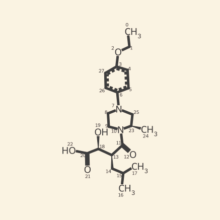 CCOc1ccc(N2CCN(C(=O)[C@@H](CC(C)C)[C@H](O)C(=O)O)[C@H](C)C2)cc1